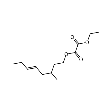 CCC=CCC(C)CCOC(=O)C(=O)OCC